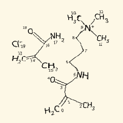 C=C(C)C(=O)NCCC[N+](C)(C)C.C=C(C)C(N)=O.[Cl-]